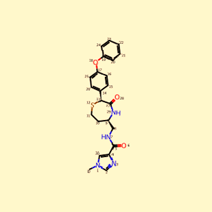 Cn1cnc(C(=O)NC[C@H]2CCS[C@@H](c3ccc(Oc4ccccc4)cc3)C(=O)N2)c1